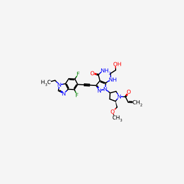 C=CC(=O)N1CC(n2nc(C#Cc3c(F)cc4c(ncn4CC)c3F)c(C(N)=O)c2NCCO)C[C@@H]1COC